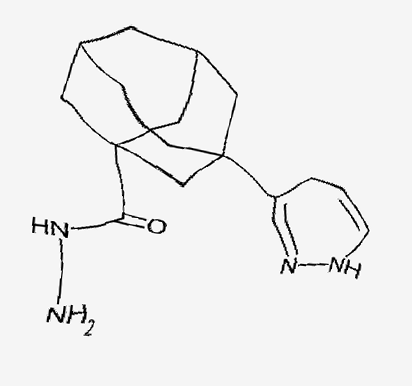 NNC(=O)C12CC3CC(C1)CC(c1cc[nH]n1)(C3)C2